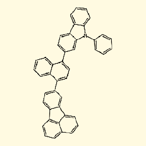 c1ccc(-n2c3ccccc3c3ccc(-c4ccc(-c5ccc6c(c5)-c5cccc7cccc-6c57)c5ccccc45)cc32)cc1